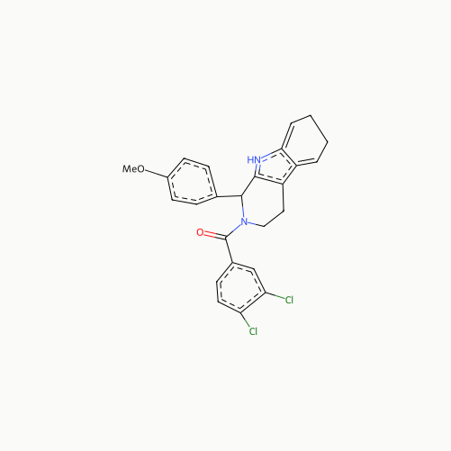 COc1ccc(C2c3[nH]c4c(c3CCN2C(=O)c2ccc(Cl)c(Cl)c2)=CCCC=4)cc1